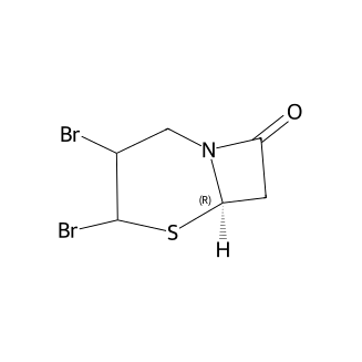 O=C1C[C@H]2SC(Br)C(Br)CN12